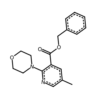 Cc1cnc(N2CCOCC2)c(C(=O)OCc2ccccc2)c1